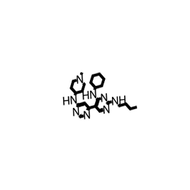 CCCCNc1ncc(-c2cc(NC3CCN(C)CC3)ncn2)c(NC2CCCCC2)n1